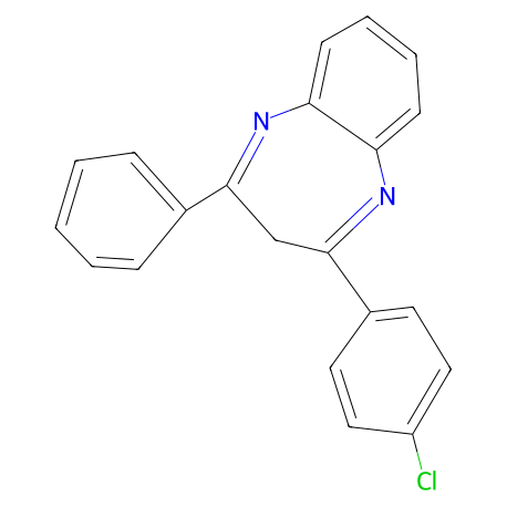 Clc1ccc(C2=Nc3ccccc3N=C(c3ccccc3)C2)cc1